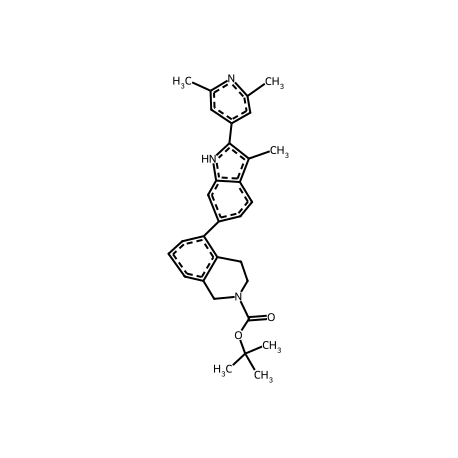 Cc1cc(-c2[nH]c3cc(-c4cccc5c4CCN(C(=O)OC(C)(C)C)C5)ccc3c2C)cc(C)n1